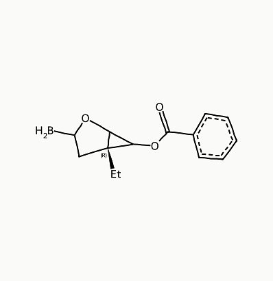 BC1C[C@@]2(CC)C(OC(=O)c3ccccc3)C2O1